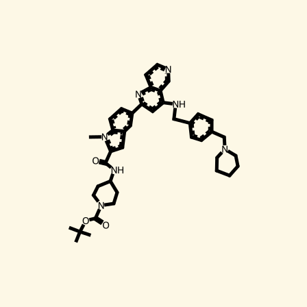 Cn1c(C(=O)NC2CCN(C(=O)OC(C)(C)C)CC2)cc2cc(-c3cc(NCc4ccc(CN5CCCCC5)cc4)c4cnccc4n3)ccc21